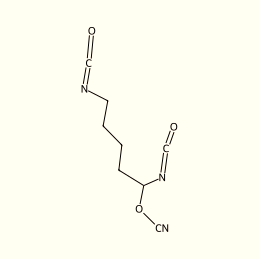 N#COC(CCCCN=C=O)N=C=O